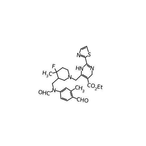 CCOC(=O)C1=C(CN2CCC(C)(F)C(CN(C=O)c3ccc(C=O)c(C)c3)C2)NC(c2nccs2)=NC1